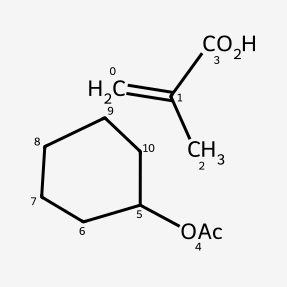 C=C(C)C(=O)O.CC(=O)OC1CCCCC1